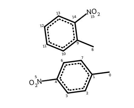 Cc1ccc([N+](=O)[O-])cc1.Cc1ccccc1[N+](=O)[O-]